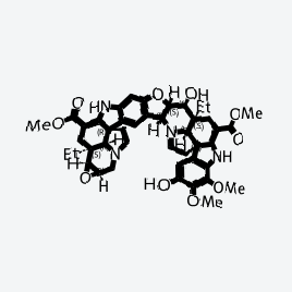 CC[C@@]12CC(C(=O)OC)=C3Nc4cc5c(cc4[C@@]34CCN(C[C@H]3O[C@H]31)[C@@H]24)[C@@H]1[C@H](O5)[C@@H](O)[C@@]2(CC)CC(C(=O)OC)=C3Nc4c(cc(O)c(OC)c4OC)[C@@]34CCN1[C@@H]24